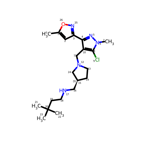 Cc1cc(-c2nn(C)c(Cl)c2CN2CC[C@@H](CNCCC(C)(C)C)C2)no1